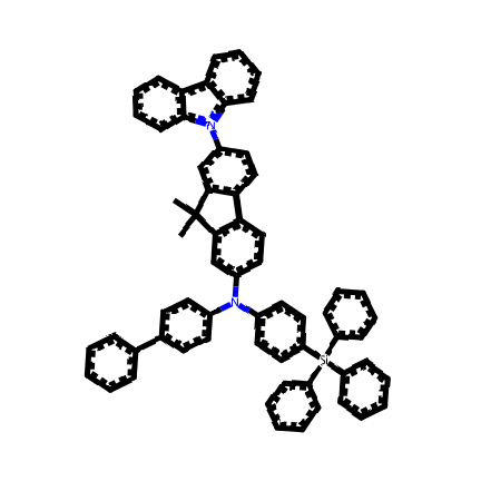 CC1(C)c2cc(N(c3ccc(-c4ccccc4)cc3)c3ccc([Si](c4ccccc4)(c4ccccc4)c4ccccc4)cc3)ccc2-c2ccc(-n3c4ccccc4c4ccccc43)cc21